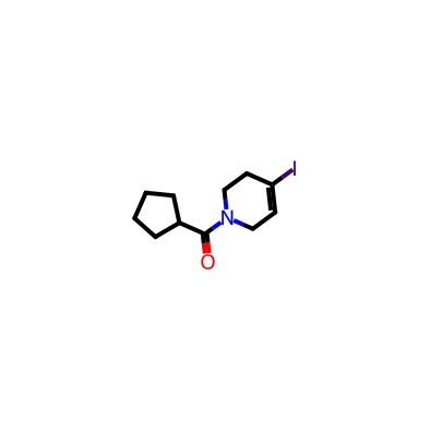 O=C(C1CCCC1)N1CC=C(I)CC1